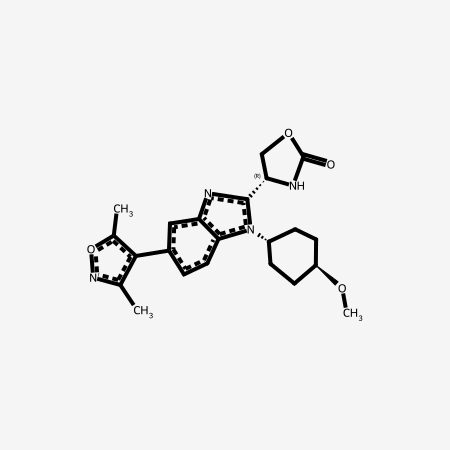 CO[C@H]1CC[C@H](n2c([C@@H]3COC(=O)N3)nc3cc(-c4c(C)noc4C)ccc32)CC1